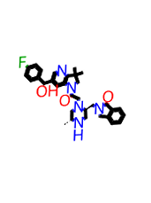 C[C@@H]1CN(CC(=O)N2CC(C)(C)c3ncc([C@H](O)c4ccc(F)cc4)cc32)[C@@H](CN2Cc3ccccc3C2=O)CN1